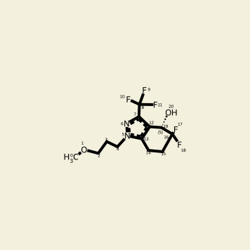 COCCCn1nc(C(F)(F)F)c2c1CCC(F)(F)[C@H]2O